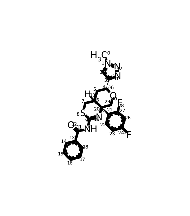 Cn1cc([C@H]2C[C@H]3CSC(NC(=O)c4ccccc4)=N[C@@]3(c3ccc(F)cc3F)CO2)nn1